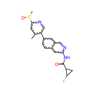 Cc1cc([S+](C)[O-])ncc1-c1ccc2cc(NC(=O)C3CC3F)ncc2c1